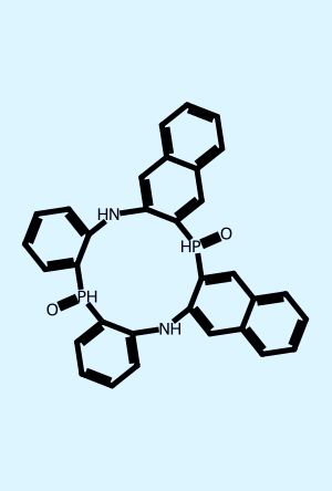 O=[PH]1c2ccccc2Nc2cc3ccccc3cc2[PH](=O)c2cc3ccccc3cc2Nc2ccccc21